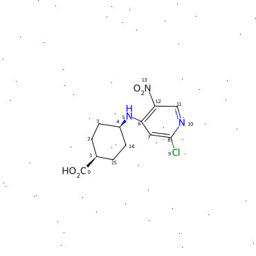 O=C(O)[C@H]1CC[C@@H](Nc2cc(Cl)ncc2[N+](=O)[O-])CC1